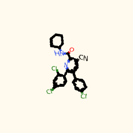 N#Cc1cc(-c2ccc(Cl)cc2)c(-c2ccc(Cl)cc2Cl)nc1C(=O)NC1CCCCC1